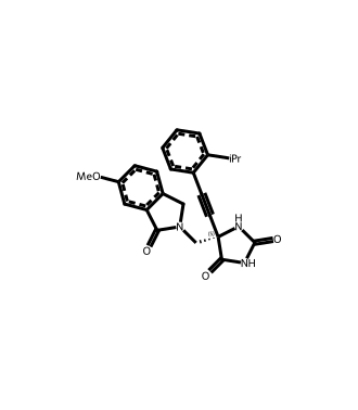 COc1ccc2c(c1)C(=O)N(C[C@]1(C#Cc3ccccc3C(C)C)NC(=O)NC1=O)C2